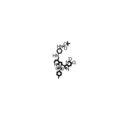 COc1cc2c(nc1OC)c(-c1cc3c(CNC4CCC(NC(=O)OC(C)(C)C)CC4)ccnc3n1S(=O)(=O)c1ccc(C)cc1)cn2C